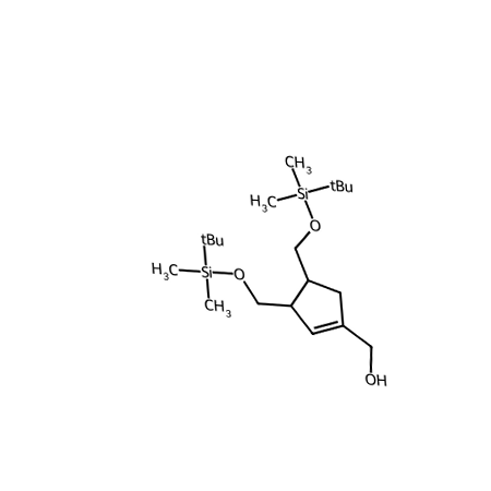 CC(C)(C)[Si](C)(C)OCC1C=C(CO)CC1CO[Si](C)(C)C(C)(C)C